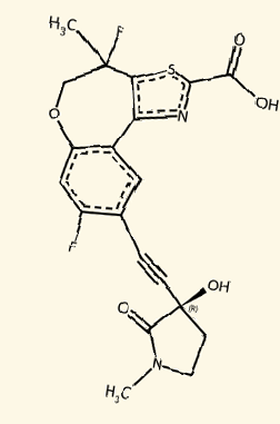 CN1CC[C@@](O)(C#Cc2cc3c(cc2F)OCC(C)(F)c2sc(C(=O)O)nc2-3)C1=O